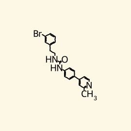 Cc1cc(-c2ccc(NC(=O)NCCc3cccc(Br)c3)cc2)ccn1